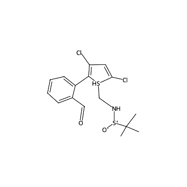 CC(C)(C)[S+]([O-])NC[SH]1C(Cl)=CC(Cl)=C1c1ccccc1C=O